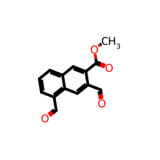 COC(=O)c1cc2cccc(C=O)c2cc1C=O